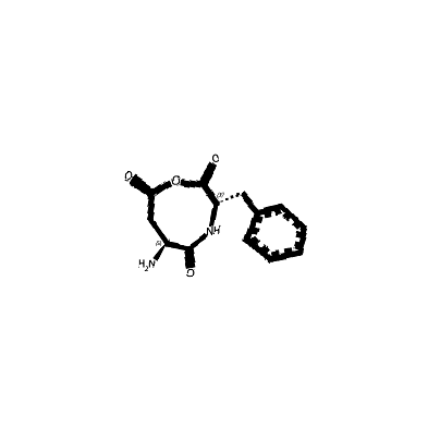 N[C@H]1CC(=O)OC(=O)[C@H](Cc2ccccc2)NC1=O